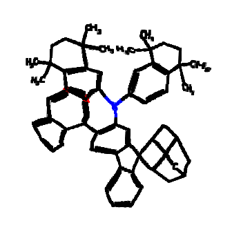 CC1(C)CCC(C)(C)c2cc(N(c3ccc4c(c3)C(C)(C)CCC4(C)C)c3cc4c(cc3-c3cccc5ccccc35)-c3ccccc3C43C4CC5CC6CC3C64C5)ccc21